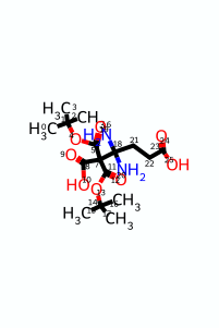 CC(C)(C)OC(=O)C(C(=O)O)(C(=O)OC(C)(C)C)C(N)(N)CCC(=O)O